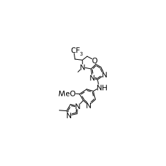 COc1cc(Nc2ncc3c(n2)N(C)C(CC(F)(F)F)CO3)cnc1-n1cnc(C)c1